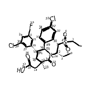 CC[C@@H](CS(=O)(=O)CC)N1C(=O)[C@@](C)(CC(=O)O)C[C@H](c2cc(F)cc(Cl)c2)[C@H]1c1ccc(Cl)cc1